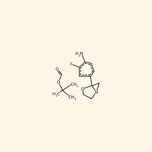 CC(C)(C)OC=O.Nc1ccc(C23CN2CCO3)cc1F